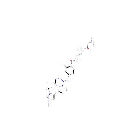 C[N+](C)(C)CC(=O)NCCNC(=O)c1ccc(Nc2nccn3c(-c4c[nH]nc4C(F)(F)F)cnc23)cc1Cl